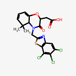 CC1(C)C=CC=C2OC(CC(=O)O)C(=O)N(Cc3nc4cc(Cl)c(Cl)c(Cl)c4s3)C21